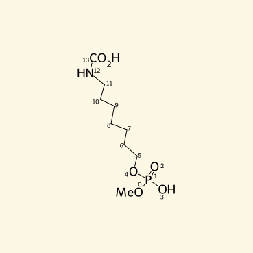 COP(=O)(O)OCCCCCCCNC(=O)O